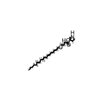 C1CCNC1.CCCCCC=CCC=CCC=CCCCCCOCCCC(=O)O